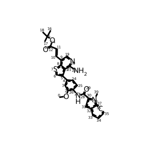 COc1cc(-c2csc3c(/C=C/C(=O)OC(C)(C)C)cnc(N)c23)ccc1NC(=O)c1cc2ccccc2n1C